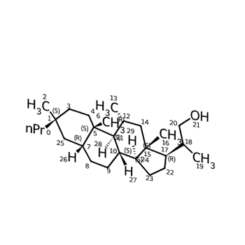 CCC[C@@]1(C)CC[C@@]2(C)[C@H](CC[C@@H]3[C@@H]2[C@H](C)C[C@]2(C)[C@@H](C(C)CO)CC[C@@H]32)C1